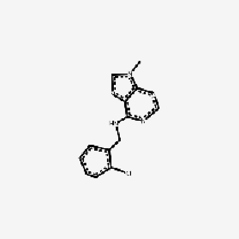 Cn1cnc2c(NCc3ccccc3Cl)ncnc21